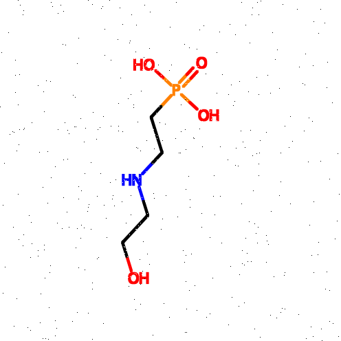 O=P(O)(O)CCNCCO